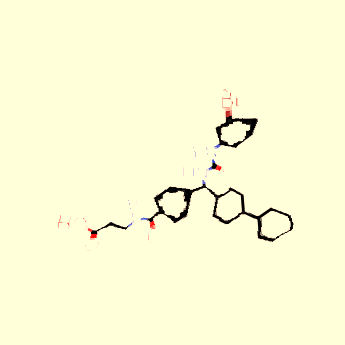 O=C(O)CCNC(=O)c1ccc(C(NC(=O)Nc2cccc(Br)c2)C2CCC(C3CCCCC3)CC2)cc1